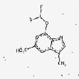 Cn1cnc2c(OC(F)F)cc(C(=O)O)cc21